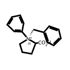 O=C(O)C1CCC[N@@+]1(Cc1ccccc1)c1ccccc1